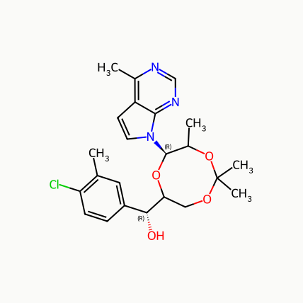 Cc1cc([C@@H](O)C2COC(C)(C)OC(C)[C@H](n3ccc4c(C)ncnc43)O2)ccc1Cl